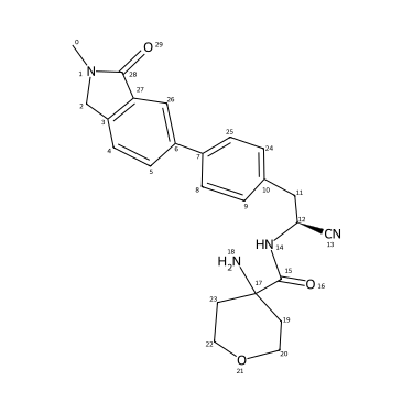 CN1Cc2ccc(-c3ccc(C[C@@H](C#N)NC(=O)C4(N)CCOCC4)cc3)cc2C1=O